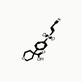 N#CC=CS(=O)(=O)c1ccc(C2(C(=O)O)CCOCC2)cc1